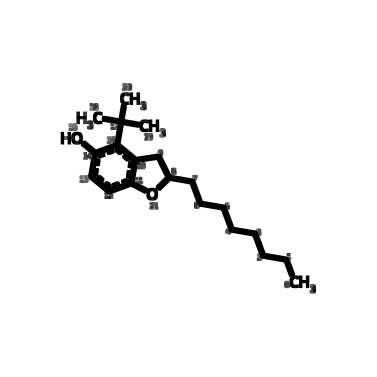 CCCCCCCCC1Cc2c(ccc(O)c2C(C)(C)C)O1